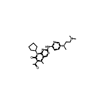 CC(=O)c1c(C)c2cnc(Nc3ccc(N(C)CCN(C)C)cn3)nc2n(C2CCCC2)c1=O